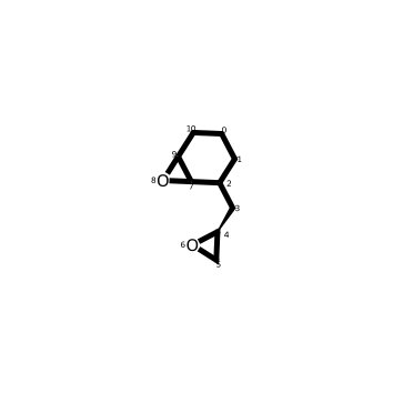 C1CC(C[C@H]2CO2)C2OC2C1